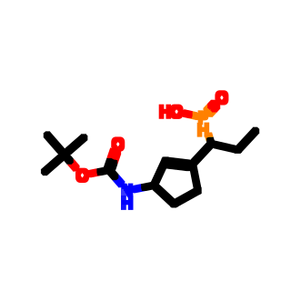 CCC(C1=CC(NC(=O)OC(C)(C)C)CC1)[PH](=O)O